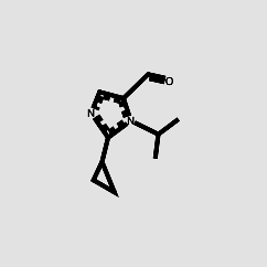 CC(C)n1c(C=O)cnc1C1CC1